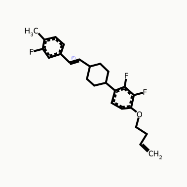 C=CCCOc1ccc(C2CCC(/C=C/c3ccc(C)c(F)c3)CC2)c(F)c1F